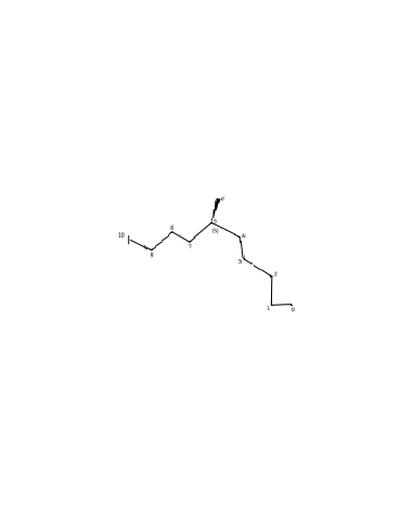 CCCCC[C@H](C)CCCI